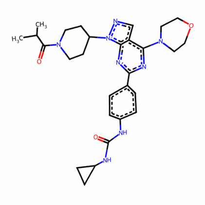 CC(C)C(=O)N1CCC(n2ncc3c(N4CCOCC4)nc(-c4ccc(NC(=O)NC5CC5)cc4)nc32)CC1